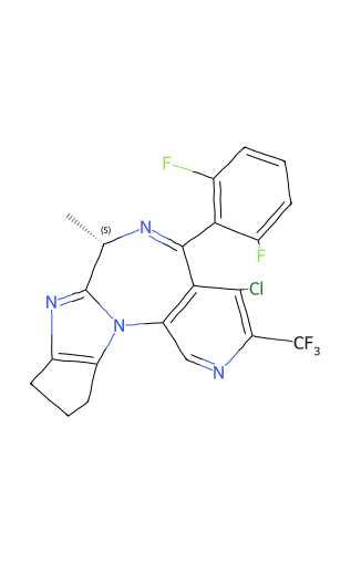 C[C@@H]1N=C(c2c(F)cccc2F)c2c(cnc(C(F)(F)F)c2Cl)-n2c1nc1c2CCC1